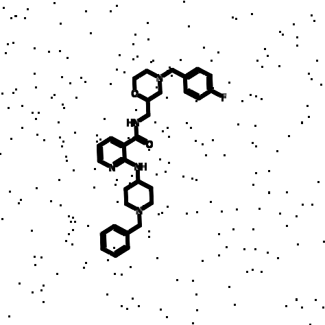 O=C(NCC1CN(Cc2ccc(F)cc2)CCO1)c1cccnc1NC1CCN(Cc2ccccc2)CC1